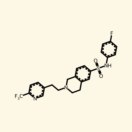 O=S(=O)(Nc1ccc(F)cc1)c1ccc2c(c1)CCN(CCc1ccc(C(F)(F)F)nc1)C2